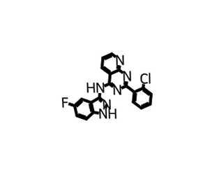 Fc1ccc2[nH]nc(Nc3nc(-c4ccccc4Cl)nc4ncccc34)c2c1